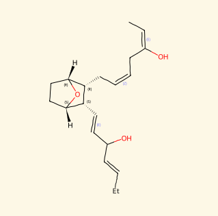 C/C=C(/O)C/C=C\C[C@@H]1[C@H](/C=C/C(O)C=CCC)[C@@H]2CC[C@H]1O2